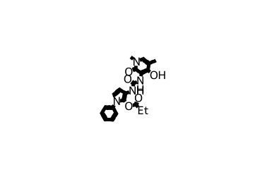 CCC(=O)Oc1c(NC(=O)Nc2c(O)c(C)cn(C)c2=O)ccn1-c1ccccc1